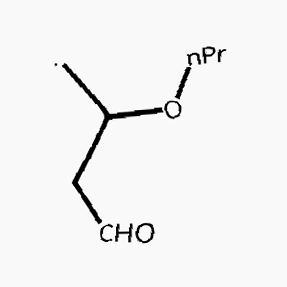 [CH2]C(CC=O)OCCC